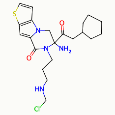 NC1(C(=O)CC2CCCCC2)Cn2c(cc3sccc32)C(=O)N1CCCNCCl